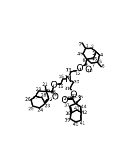 CC1CC2CC(C)CC(C(=O)OCCN(CCOC(=O)C3(C)C=C4CCCC(C4)C3)CCOC(=O)C3(C)C=C4CCCC(C4)C3)(C1)C2